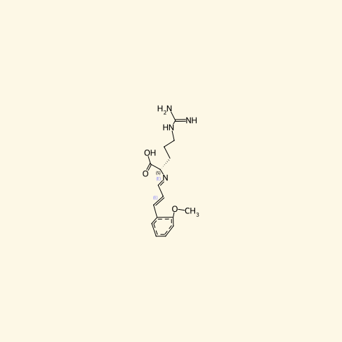 COc1ccccc1/C=C/C=N/[C@@H](CCCNC(=N)N)C(=O)O